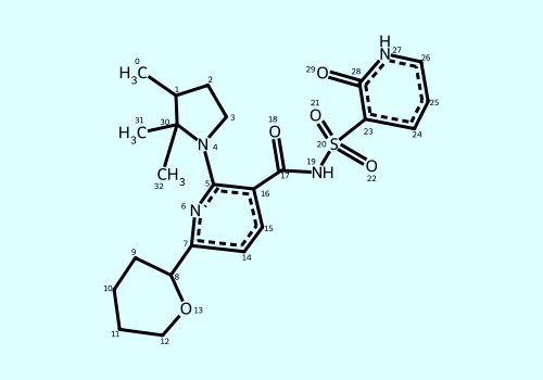 CC1CCN(c2nc(C3CCCCO3)ccc2C(=O)NS(=O)(=O)c2ccc[nH]c2=O)C1(C)C